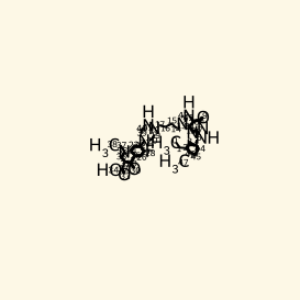 CCc1cc(Nc2nc(=O)c3c([nH]2)N(CCCCN2CCN(c4cc5c(cc4F)c(=O)c(C(=O)O)cn5CC)CCN2)CN3)ccc1C